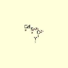 [Gd].[O-2].[Sr+2].[Y]